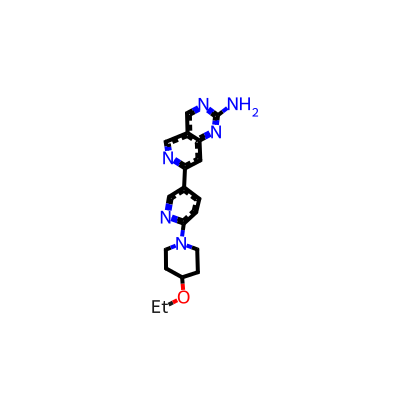 CCOC1CCN(c2ccc(-c3cc4nc(N)ncc4cn3)cn2)CC1